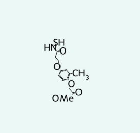 COC(=O)COc1ccc(OCCC(=O)NS)cc1C